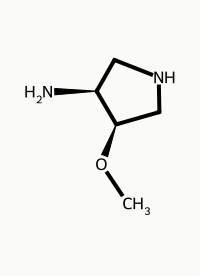 CO[C@@H]1CNC[C@@H]1N